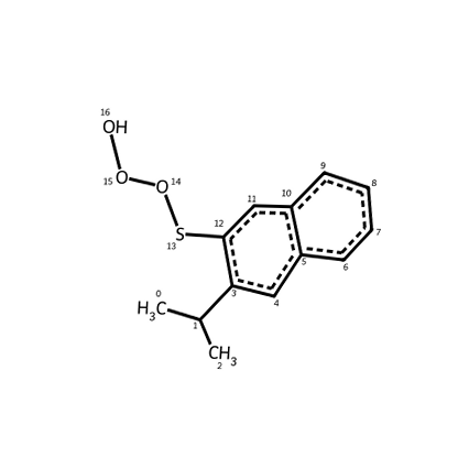 CC(C)c1cc2ccccc2cc1SOOO